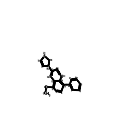 COc1ccc(-c2ccccc2)c2ncc(N3C=CSC3)nc12